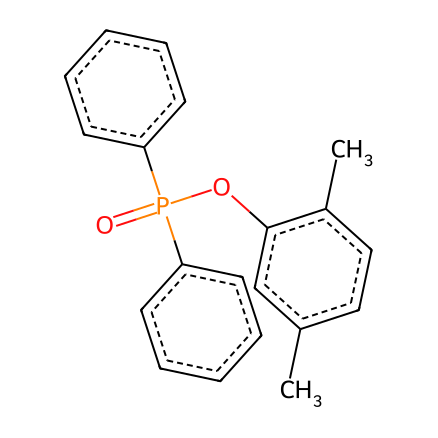 Cc1ccc(C)c(OP(=O)(c2ccccc2)c2ccccc2)c1